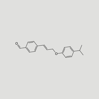 CC(C)c1ccc(OCC=Cc2ccc(C=O)cc2)cc1